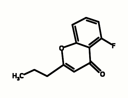 CCCc1cc(=O)c2c(F)cccc2o1